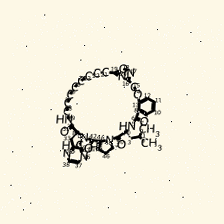 CC(C)C[C@H]1NC(=O)c2ccccc2OCc2noc(n2)CCCCCCCCNC(=O)[C@H](Cc2cnccn2)N(C)C(=O)[C@H]2CCCN2C1=O